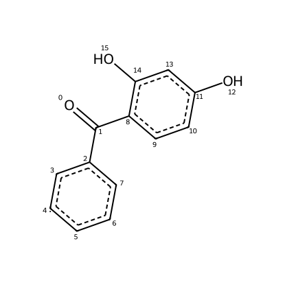 O=C(c1c[c]ccc1)c1ccc(O)cc1O